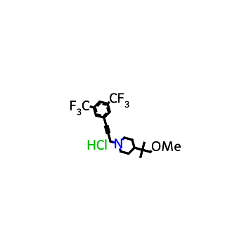 COCC(C)(C)C1CCN(CC#Cc2cc(C(F)(F)F)cc(C(F)(F)F)c2)CC1.Cl